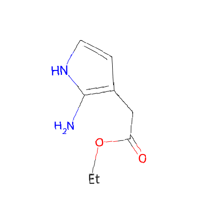 CCOC(=O)Cc1cc[nH]c1N